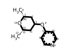 C[C@@H]1CC(Oc2ccncc2)C[C@H](C)O1